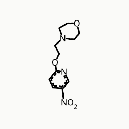 O=[N+]([O-])c1ccc(OCCN2CCOCC2)nc1